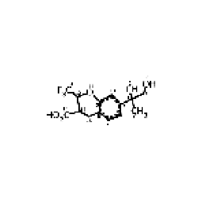 CC(C)(CO)c1ccc2c(c1)OC(C(F)(F)F)C(C(=O)O)C2